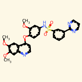 COc1cc2nccc(Oc3ccc(NS(=O)(=O)c4cccc(-c5ncccn5)c4)cc3OC)c2cc1OC